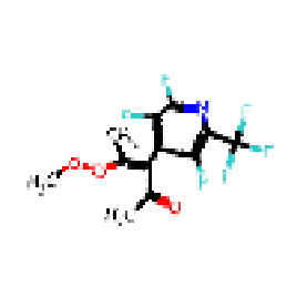 COO/C(C)=C(\C(C)=O)c1c(F)c(F)nc(C(F)(F)F)c1F